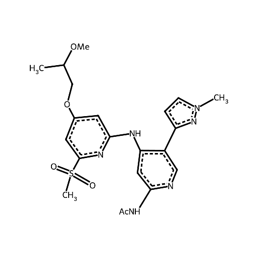 COC(C)COc1cc(Nc2cc(NC(C)=O)ncc2-c2ccn(C)n2)nc(S(C)(=O)=O)c1